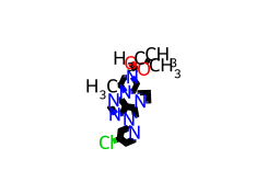 CC1CN(C(=O)OC(C)(C)C)CCN1c1ncnc2c1c(N1CCC1)cn2-c1cc(Cl)ccn1